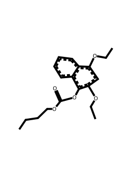 CCCCOC(=O)Oc1c(OCC)cc(OCC)c2ccccc12